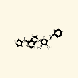 O[C@@H]1[C@H](O)[C@@H](CSc2ccccc2)O[C@H]1n1cnc2c(N[C@@H]3CCOC3)ncnc21